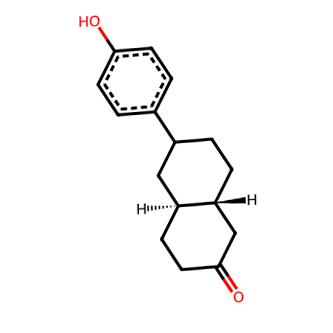 O=C1CC[C@H]2CC(c3ccc(O)cc3)CC[C@@H]2C1